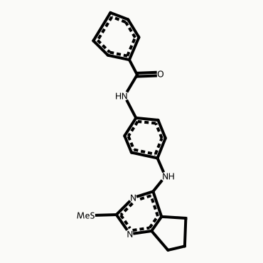 CSc1nc2c(c(Nc3ccc(NC(=O)c4ccccc4)cc3)n1)CCC2